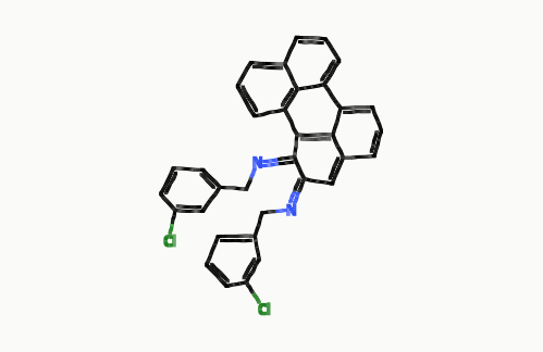 Clc1cccc(CN=c2cc3cccc4c5cccc6cccc(c(c2=NCc2cccc(Cl)c2)c34)c65)c1